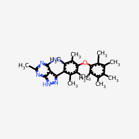 Cc1nc(N)c2c(-c3c(C)c(C)c(Oc4c(C)c(C)c(C)c(C)c4C)c(C)c3C)n[nH]c2n1